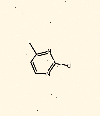 Clc1nccc(I)n1